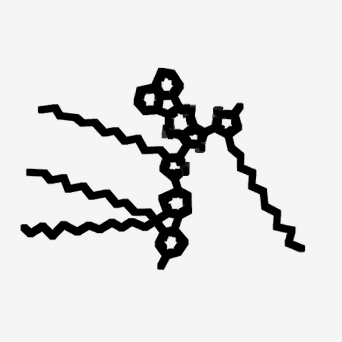 CCCCCCCCCCCCc1cc(C)sc1-c1sc(-c2sc(-c3ccc4c(c3)C(CCCCCCCCCCCC)(CCCCCCCCCCCC)c3cc(C)ccc3-4)cc2CCCCCCCCCCCC)c2nc3c(nc12)-c1cccc2cccc-3c12